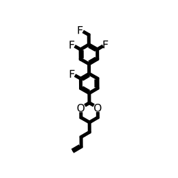 C=CCCC1COC(c2ccc(-c3cc(F)c(CF)c(F)c3)c(F)c2)OC1